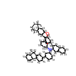 CC1(C)CCC(C)(C)c2cc3c(cc21)oc1cc(-c2cc4ccccc4cc2N(c2ccccc2)c2cccc(-c4ccc5c(c4)C(C)(C)c4ccccc4-5)c2)ccc13